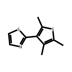 Cc1sc(C)c(-c2nccs2)c1C